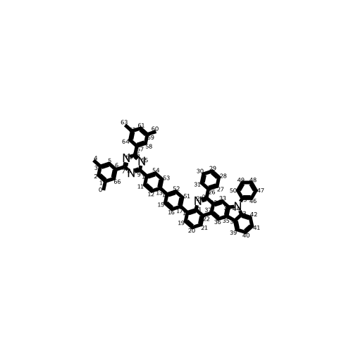 Cc1cc(C)cc(-c2nc(-c3ccc(-c4ccc(-c5cccc6c5nc(-c5ccccc5)c5cc7c(cc56)c5ccccc5n7-c5ccccc5)cc4)cc3)nc(-c3cc(C)cc(C)c3)n2)c1